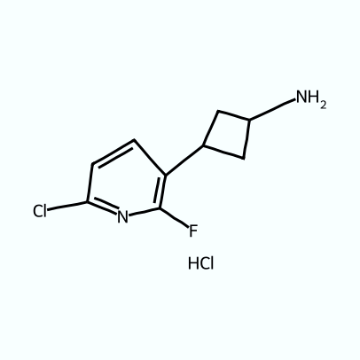 Cl.NC1CC(c2ccc(Cl)nc2F)C1